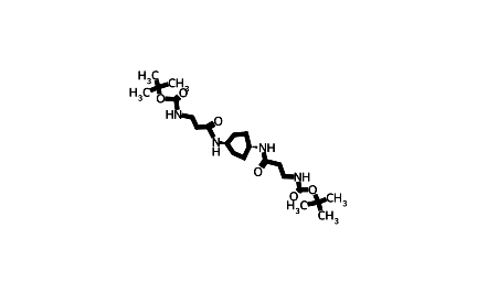 CC(C)(C)OC(=O)NCCC(=O)N[C@H]1CC[C@H](NC(=O)CCNC(=O)OC(C)(C)C)CC1